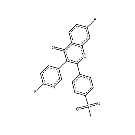 CS(=O)(=O)c1ccc(-c2oc3cc(F)ccc3c(=O)c2-c2ccc(F)nc2)cc1